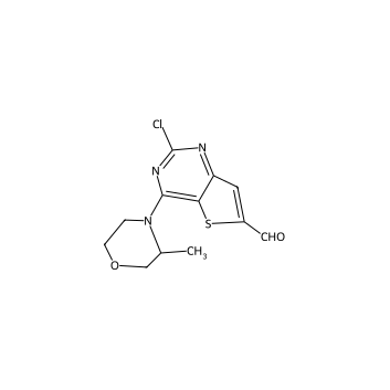 CC1COCCN1c1nc(Cl)nc2cc(C=O)sc12